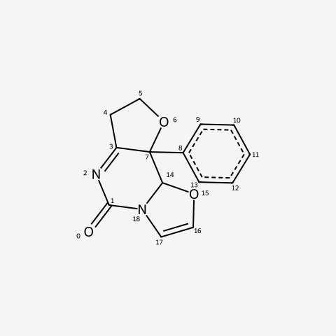 O=C1N=C2CCOC2(c2ccccc2)C2OC=CN12